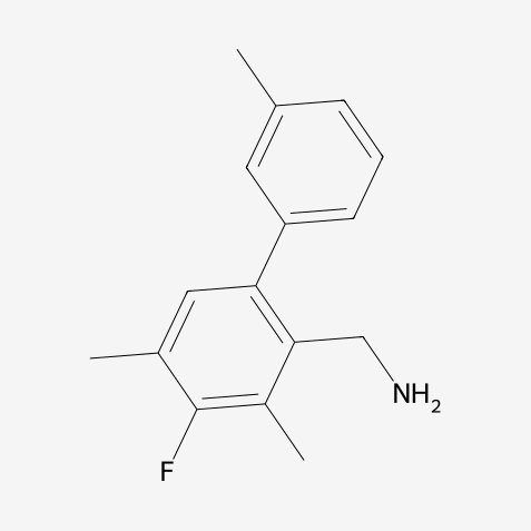 Cc1cccc(-c2cc(C)c(F)c(C)c2CN)c1